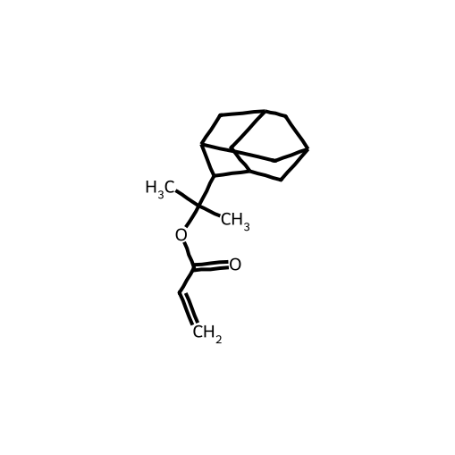 C=CC(=O)OC(C)(C)C1C2CC3CC(C2)CC1C3